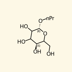 CCCO[C@@H]1OC(CO)[C@@H](O)C(O)C1O